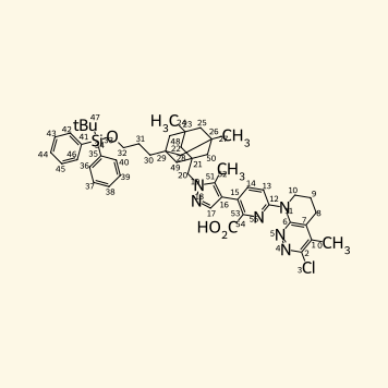 Cc1c(Cl)nnc2c1CCCN2c1ccc(-c2cnn(CC34CC5(C)CC(C)(CC(CCCO[Si](c6ccccc6)(c6ccccc6)C(C)(C)C)(C5)C3)C4)c2C)c(C(=O)O)n1